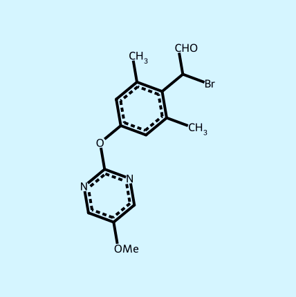 COc1cnc(Oc2cc(C)c(C(Br)C=O)c(C)c2)nc1